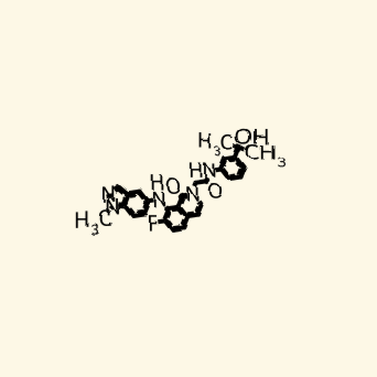 Cn1ncc2cc(Nc3c(F)ccc4ccn(CC(=O)Nc5cccc(C(C)(C)O)c5)c(=O)c34)ccc21